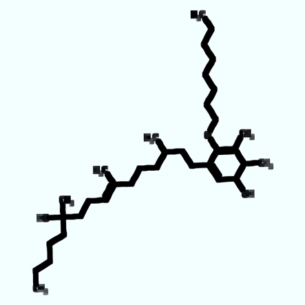 CCCCCCCCOC1=C(C)C(C)C(O)C=C1CCC(C)CCC/C(C)=C/CCC(C)(O)CCCCC